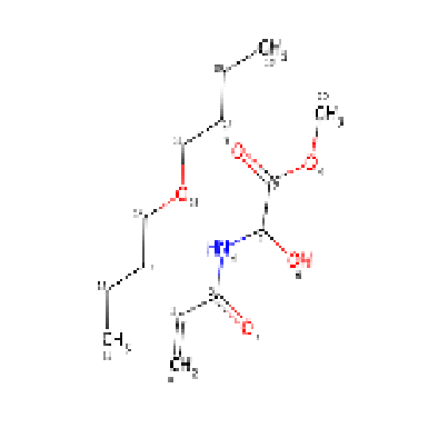 C=CC(=O)NC(O)C(=O)OC.CCCCOCCCC